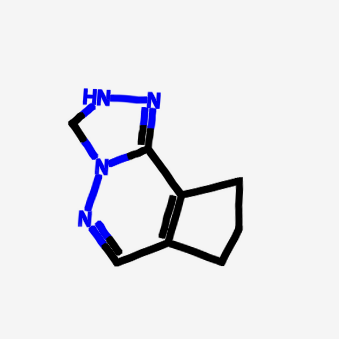 C1=NN2CNN=C2C2=C1CCC2